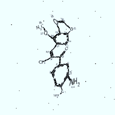 COc1ccc(C(=O)/C(Cl)=C\c2ccc3c(c2OC)OCO3)cc1N